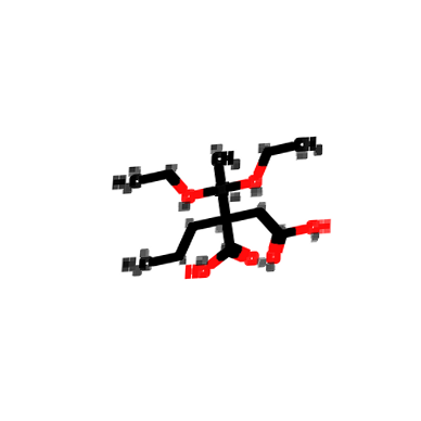 CCCC(CC(=O)O)(C(=O)O)[Si](C)(OCC)OCC